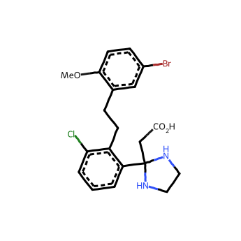 COc1ccc(Br)cc1CCc1c(Cl)cccc1C1(CC(=O)O)NCCN1